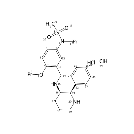 CC(C)Oc1ccc(N(C(C)C)S(C)(=O)=O)cc1CN[C@@H]1CCCN[C@@H]1c1ccccc1.Cl.Cl